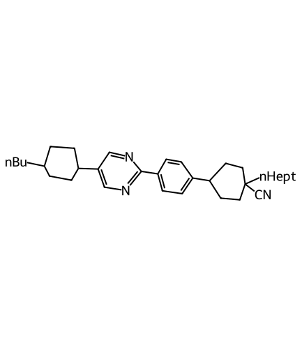 CCCCCCCC1(C#N)CCC(c2ccc(-c3ncc(C4CCC(CCCC)CC4)cn3)cc2)CC1